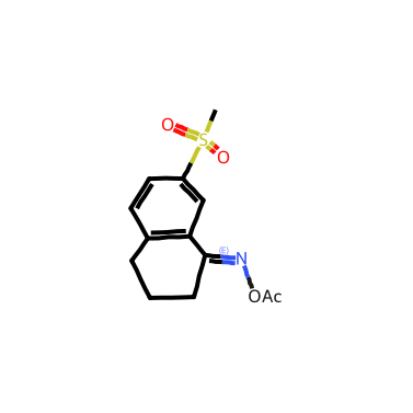 CC(=O)O/N=C1\CCCc2ccc(S(C)(=O)=O)cc21